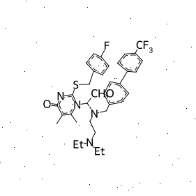 CCN(CC)CCN(Cc1ccc(-c2ccc(C(F)(F)F)cc2)cc1)C(C=O)n1c(SCc2ccc(F)cc2)nc(=O)c(C)c1C